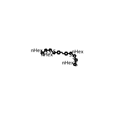 CCCCCCc1ccsc1-c1ccc(-c2ccc(-c3sc(-c4ccc(CCc5ccc(-c6cc(CCCCCC)c(-c7ccc(-c8ccc(-c9sccc9CCCCCC)s8)s7)s6)cc5)cc4)cc3CCCCCC)s2)s1